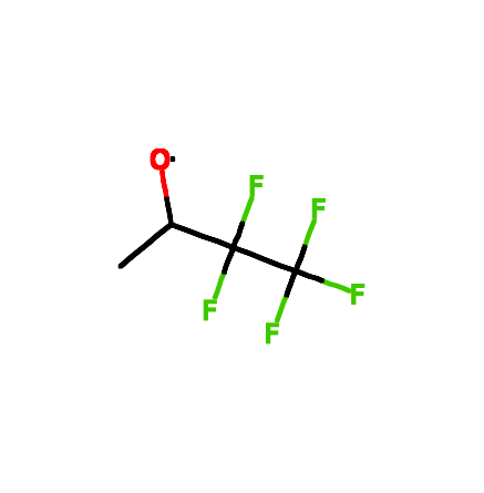 CC([O])C(F)(F)C(F)(F)F